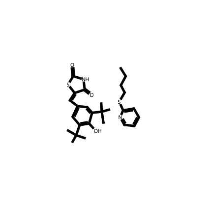 CC(C)(C)c1cc(C=C2SC(=O)NC2=O)cc(C(C)(C)C)c1O.CCCCSc1ccccn1